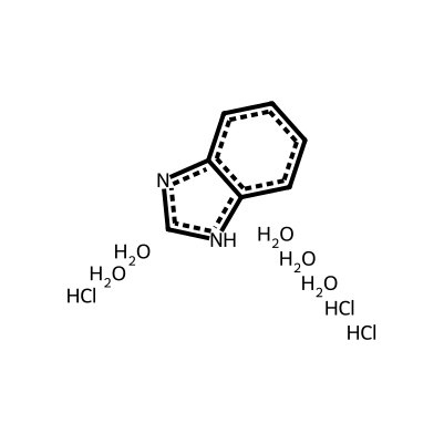 Cl.Cl.Cl.O.O.O.O.O.c1ccc2[nH]cnc2c1